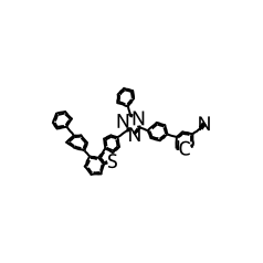 N#Cc1cccc(-c2ccc(-c3nc(-c4ccccc4)nc(-c4ccc5c(c4)sc4cccc(-c6ccc(-c7ccccc7)cc6)c45)n3)cc2)c1